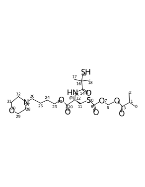 CC(C)C(=O)OCOC(=O)SC[C@H](NC(=O)C(C)(C)S)C(=O)OCCCCN1CCOCC1